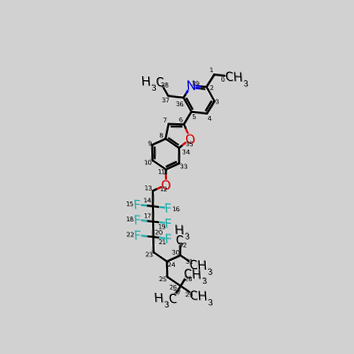 CCc1ccc(-c2cc3ccc(OCC(F)(F)C(F)(F)C(F)(F)CC(CC(C)(C)C)C(C)C)cc3o2)c(CC)n1